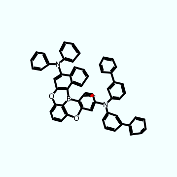 C1=CC2C(N(c3cccc(-c4ccccc4)c3)c3cccc(-c4ccccc4)c3)=CC3=C(B4c5c(cccc5Oc5cc(N(c6ccccc6)c6ccccc6)c6ccccc6c54)O3)C2C=C1